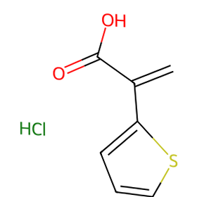 C=C(C(=O)O)c1cccs1.Cl